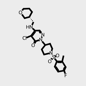 Cc1cc(F)ccc1S(=O)(=O)N1CCC(n2ncc(NC[C@H]3CCCOC3)c(Cl)c2=O)CC1